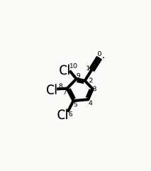 [C]#Cc1ccc(Cl)c(Cl)c1Cl